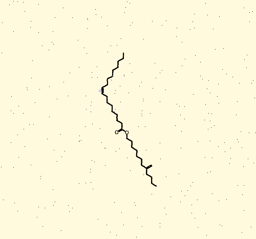 C=C(CCCC)CCCCCCCOC(=O)CCCCCCC/C=C\CCCCCCCC